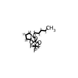 CCCCC[N+]1(OS(=O)(=O)C(F)(F)F)CCCC1